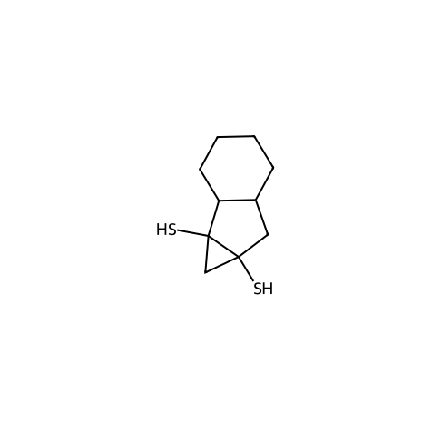 SC12CC3CCCCC3C1(S)C2